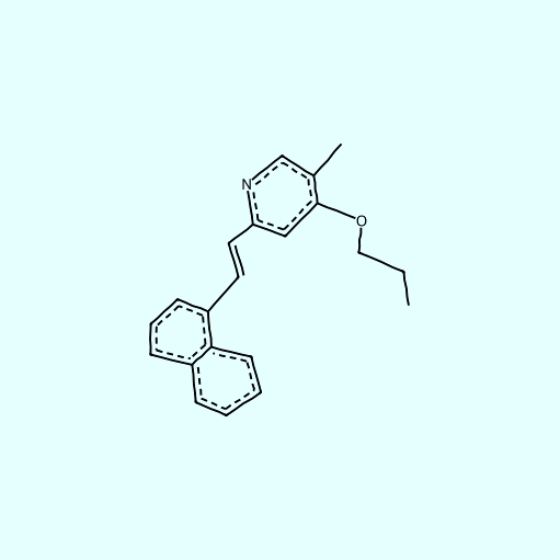 CCCOc1cc(C=Cc2cccc3ccccc23)ncc1C